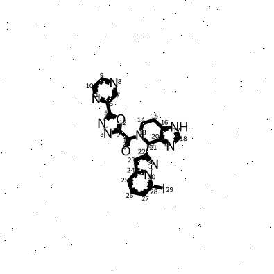 O=C(c1nnc(-c2cnccn2)o1)N1CCc2[nH]cnc2[C@H]1c1cc2cccc(I)n2n1